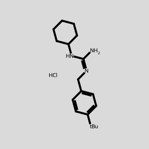 CC(C)(C)c1ccc(CN=C(N)NC2CCCCC2)cc1.Cl